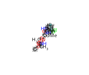 COc1cc(C(=O)OC(C)OC(=O)N[C@@H](C)C(=O)OCc2ccccc2)ccc1NC(=O)[C@@H]1N[C@@H](CC(C)(C)C)[C@](C#N)(c2ccc(Cl)cc2F)[C@H]1c1cccc(Cl)c1F